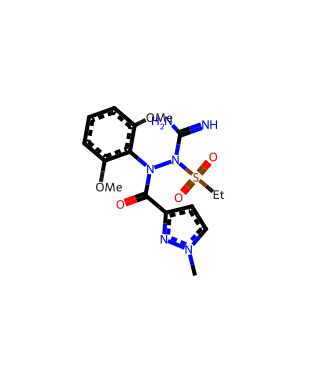 CCS(=O)(=O)N(C(=N)N)N(C(=O)c1ccn(C)n1)c1c(OC)cccc1OC